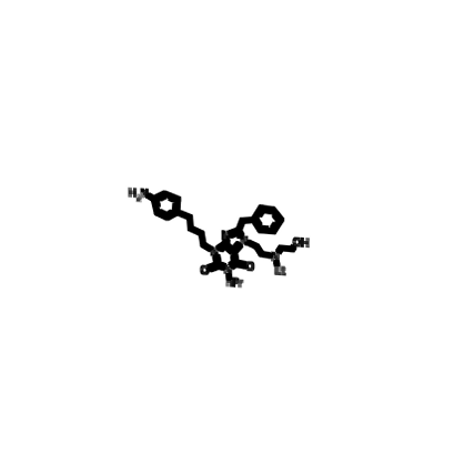 CCCn1c(=O)c2c(nc(Cc3ccccc3)n2CCN(CC)CCO)n(CCCCc2ccc(N)cc2)c1=O